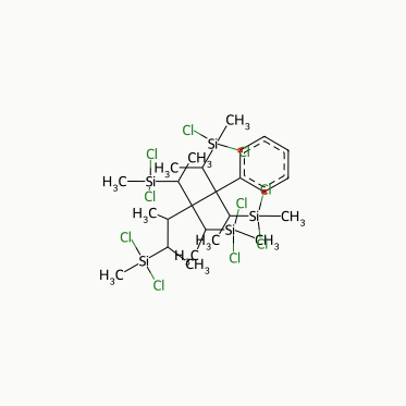 CC(C(C)[Si](C)(Cl)Cl)C(C(C)[Si](C)(Cl)Cl)(C(C)[Si](C)(Cl)Cl)C(c1ccccc1)(C(C)[Si](C)(Cl)Cl)C(C)[Si](C)(Cl)Cl